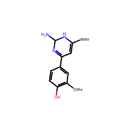 CNC1=CC(c2ccc(O)c(OC)c2)=NC(N)N1